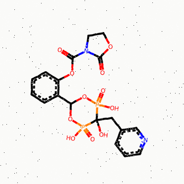 O=C1OCCN1C(=O)Oc1ccccc1C1OP(=O)(O)C(O)(Cc2cccnc2)P(=O)(O)O1